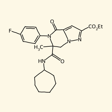 CCOC(=O)c1cc2n(n1)CC(C)(C(=O)NC1CCCCCC1)N(c1ccc(F)cc1)C2=O